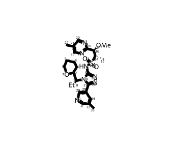 CC[C@@H](C1CCCCO1)n1c(NS(=O)(=O)[C@@H](C)[C@H](OC)c2ncc(C)cn2)nnc1-c1cncc(C)c1